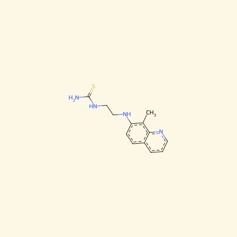 Cc1c(NCCNC(N)=S)ccc2cccnc12